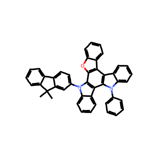 CC1(C)c2ccccc2-c2ccc(-n3c4ccccc4c4c3c3oc5ccccc5c3c3c5ccccc5n(-c5ccccc5)c34)cc21